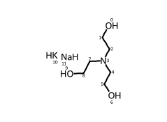 OCCN(CCO)CCO.[KH].[NaH]